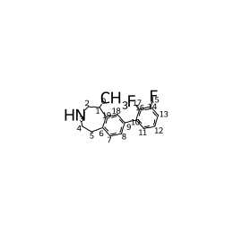 CC1CNCCc2ccc(-c3cccc(F)c3F)cc21